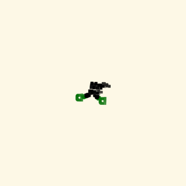 [Cl][Pt-2][Cl].[Mn+2]